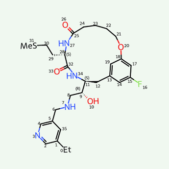 CCc1cncc(CNC[C@@H](O)[C@@H]2Cc3cc(F)cc(c3)OCCCCC(=O)N[C@@H](CCSC)C(=O)N2)c1